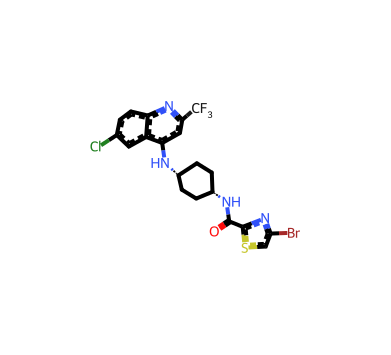 O=C(N[C@H]1CC[C@@H](Nc2cc(C(F)(F)F)nc3ccc(Cl)cc23)CC1)c1nc(Br)cs1